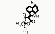 CC1(C)OC(=O)C(=c2[nH]c3ccc(Br)c4cccc2c34)C(=O)O1